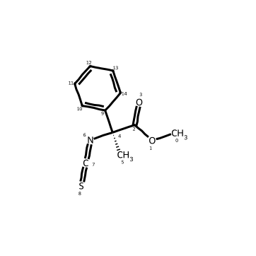 COC(=O)[C@@](C)(N=C=S)c1ccccc1